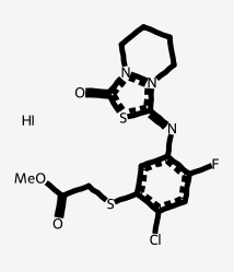 COC(=O)CSc1cc(/N=c2\sc(=O)n3n2CCCC3)c(F)cc1Cl.I